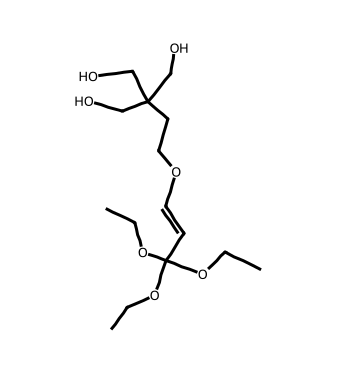 CCOC(C=COCCC(CO)(CO)CO)(OCC)OCC